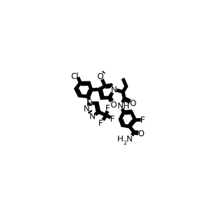 CCC(C(=O)Nc1ccc(C(N)=O)c(F)c1)n1cc(OC)c(-c2cc(Cl)ccc2-n2cc(C(F)(F)F)nn2)cc1=O